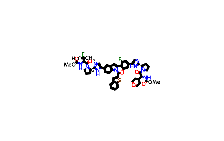 COC(=O)NC(C(=O)N1CCC[C@H]1c1ncc(-c2ccc3c(c2)cc2n3C(c3cc4ccccc4s3)Oc3cc(-c4cnc([C@@H]5CCCN5C(=O)[C@@H](NC(=O)OC)C5CCOCC5)[nH]4)cc(F)c3-2)[nH]1)C(C)(C)F